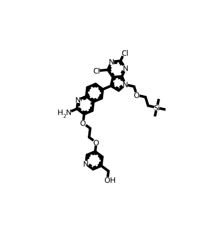 C[Si](C)(C)CCOCn1cc(-c2ccc3nc(N)c(OCCOc4cncc(CO)c4)cc3c2)c2c(Cl)nc(Cl)nc21